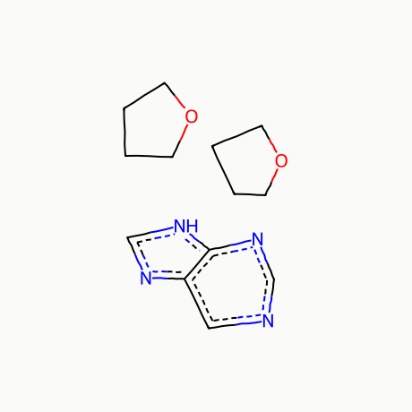 C1CCOC1.C1CCOC1.c1ncc2nc[nH]c2n1